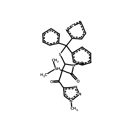 Cn1cc(C(=O)C2([SiH](C)C)C(=O)N(C(C)(C)C)C2SC(c2ccccc2)(c2ccccc2)c2ccccc2)nn1